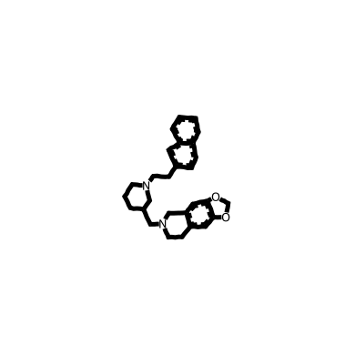 c1ccc2cc(CCN3CCCC(CN4CCc5cc6c(cc5C4)OCO6)C3)ccc2c1